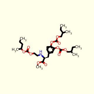 CCCC(C)OC(=O)OCCN[C@@H](Cc1ccc(OC(=O)OCC(C)CC)c(OC(=O)OCC(C)CC)c1)C(=O)OC